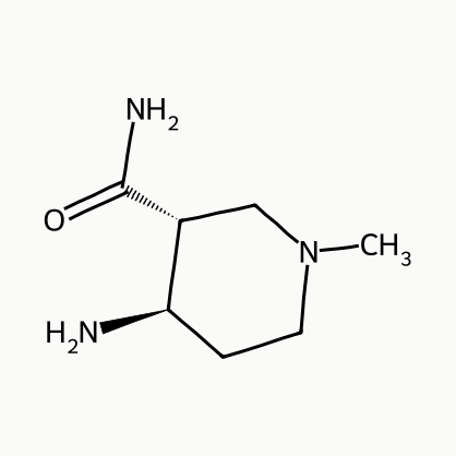 CN1CC[C@@H](N)[C@H](C(N)=O)C1